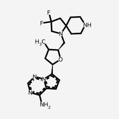 CC1C[C@H](c2ccc3c(N)ncnn23)O[C@@H]1CN1CC(F)(F)CC12CCNCC2